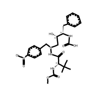 COC(=O)N[C@H](C(=O)NN(Cc1ccc([N+](=O)[O-])cc1)C[C@H](O)[C@H](Cc1ccccc1)NC(=O)O)C(C)(C)C